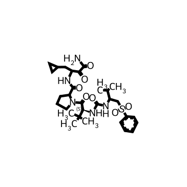 CC(C)C(CS(=O)(=O)c1ccccc1)NC(=O)N[C@H](C(=O)N1CCCC1C(=O)NC(CC1CC1)C(=O)C(N)=O)C(C)(C)C